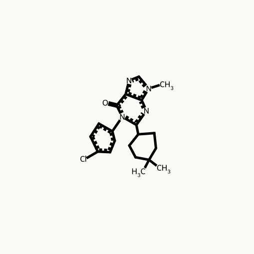 Cn1cnc2c(=O)n(-c3ccc(Cl)cc3)c(C3CCC(C)(C)CC3)nc21